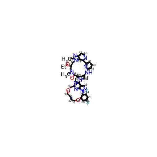 CCO[C@H]1CN(C)C(=O)[C@@H]2C[C@@H](CN2c2nc3nc4c2cnn4-c2c(F)cc(F)cc2OC/C=C/COC3)Nc2cccc(n2)-c2nccc3nc(C)n(c23)C1